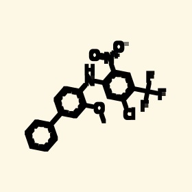 COc1cc(-c2ccccc2)ccc1Nc1cc(Cl)c(C(F)(F)F)cc1[N+](=O)[O-]